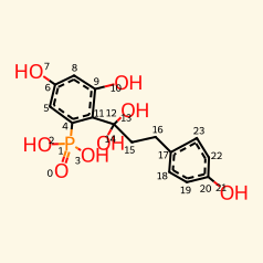 O=P(O)(O)c1cc(O)cc(O)c1C(O)(O)CCc1ccc(O)cc1